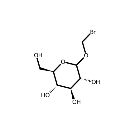 OC[C@H]1OC(OCBr)[C@H](O)[C@@H](O)[C@@H]1O